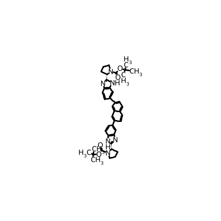 CC(C)(C)OC(=O)N1CCC[C@H]1c1nc2cc(-c3ccc4ccc(-c5ccc6nc([C@@H]7CCCN7C(=O)OC(C)(C)C)[nH]c6c5)cc4c3)ccc2[nH]1